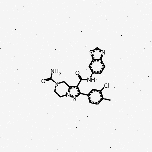 Cc1ccc(-c2nn3c(c2C(=O)Nc2ccc4ncsc4c2)CN(C(N)=O)CC3)cc1Cl